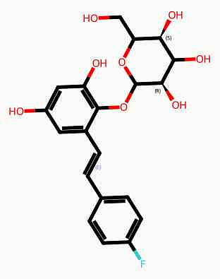 OCC1OC(Oc2c(O)cc(O)cc2/C=C/c2ccc(F)cc2)[C@H](O)C(O)[C@@H]1O